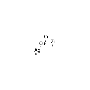 [Ag].[Cr].[Cu].[Zr]